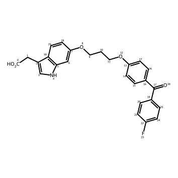 O=C(O)Cc1c[nH]c2cc(OCCCOc3ccc(C(=O)c4ccc(F)cc4)cc3)ccc12